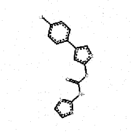 O=C(Nc1nccs1)Oc1cc(-c2ccc(Cl)cc2)cs1